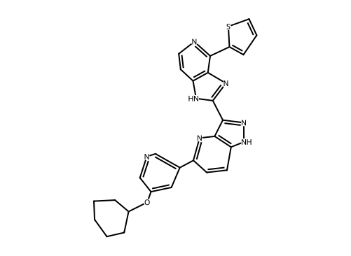 c1csc(-c2nccc3[nH]c(-c4n[nH]c5ccc(-c6cncc(OC7CCCCC7)c6)nc45)nc23)c1